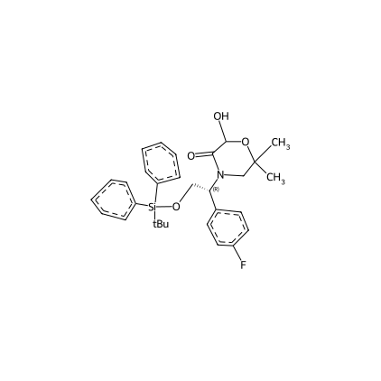 CC1(C)CN([C@@H](CO[Si](c2ccccc2)(c2ccccc2)C(C)(C)C)c2ccc(F)cc2)C(=O)C(O)O1